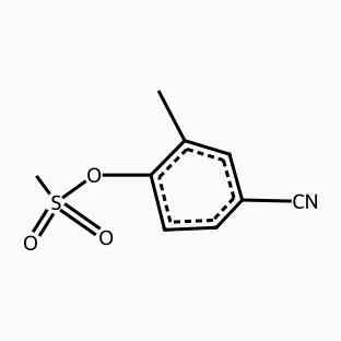 Cc1cc(C#N)ccc1OS(C)(=O)=O